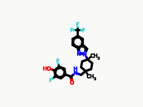 C[C@]1(CNC(=O)c2cc(F)c(O)c(F)c2)CC[C@@](C)(n2cc3cc(C(F)(F)F)ccc3n2)CC1